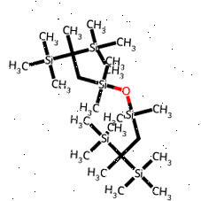 CC(C[Si](C)(C)O[Si](C)(C)CC(C)([Si](C)(C)C)[Si](C)(C)C)([Si](C)(C)C)[Si](C)(C)C